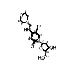 O=c1nc(NCN2CCOCC2)c(I)cn1[C@H]1C[C@@H](O)[C@@H](CO)O1